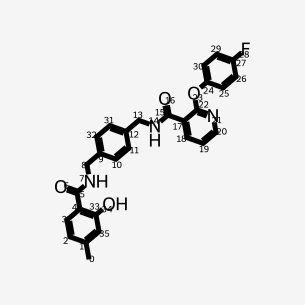 Cc1ccc(C(=O)NCc2ccc(CNC(=O)c3cccnc3Oc3ccc(F)cc3)cc2)c(O)c1